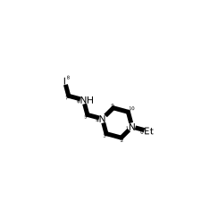 CCN1CCN(CNCI)CC1